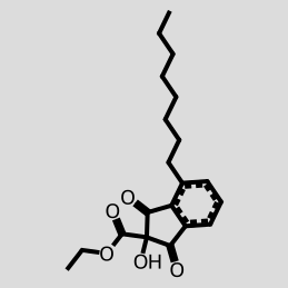 CCCCCCCCc1cccc2c1C(=O)C(O)(C(=O)OCC)C2=O